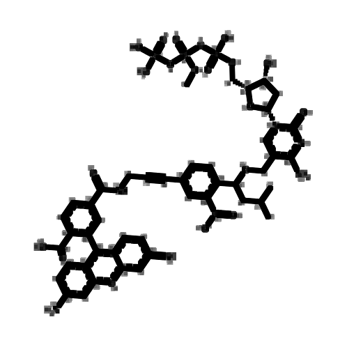 COP(=O)(OP(=O)(O)O)OP(=O)(O)OC[C@H]1O[C@@H](n2cc(COC(CC(C)C)c3ccc(C#CCNC(=O)c4ccc(C(=O)O)c(-c5c6ccc(=N)cc-6oc6cc(N)ccc56)c4)cc3[N+](=O)[O-])c(N)nc2=O)C[C@H]1O